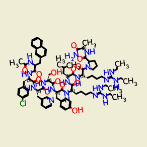 CCNC(=NCCCC[C@H](NC(=O)[C@H](CC(C)C)NC(=O)[C@@H](CCCCN=C(NCC)NCC)NC(=O)[C@@H](Cc1ccc(O)cc1)NC(=O)[C@@H](CO)NC(=O)[C@H](Cc1cccnc1)NC(=O)[C@H](Cc1ccc(Cl)cc1)NC(=O)C(Cc1ccc2ccccc2c1)NC(C)=O)C(=O)N1CCCC1C(=O)N[C@H](C)C(N)=O)NCC